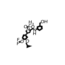 CC(=O)N1CC(c2ccc(OC(F)F)c(OCC3CC3)c2)CC1C(=O)Nc1cccc(CO)c1